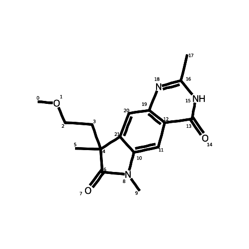 COCCC1(C)C(=O)N(C)c2cc3c(=O)[nH]c(C)nc3cc21